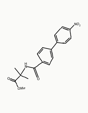 COC(=O)C(C)(C)NC(=O)c1ccc(-c2ccc([N+](=O)[O-])cc2)cc1